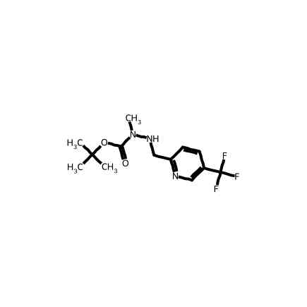 CN(NCc1ccc(C(F)(F)F)cn1)C(=O)OC(C)(C)C